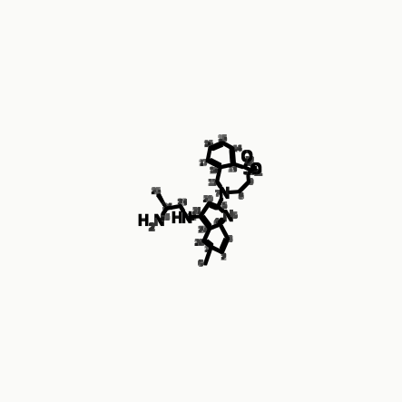 Cc1ccc2nc(N3CCS(=O)(=O)c4ccccc4C3)cc(NC[C@H](C)N)c2c1